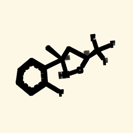 C[C@@]1(c2ccccc2F)C[C@@H](C(F)(F)F)ON1